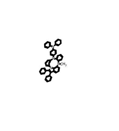 CB1c2ccccc2N(c2ccc(N(C3=CCCC=C3)c3ccccc3)cc2)c2cccc(c2)-n2c(-c3ccccc3)c(-c3ccccc3)c3cccc1c32